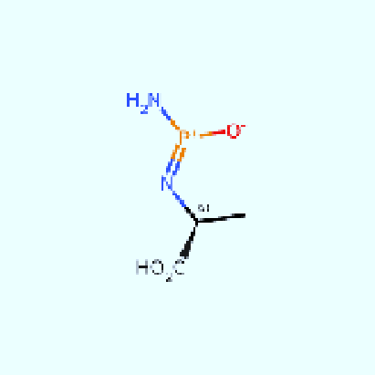 C[C@H](N=[P+](N)[O-])C(=O)O